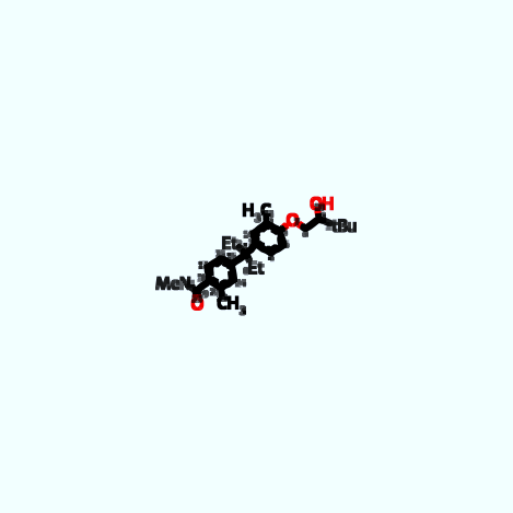 CCC(CC)(c1ccc(OCC(O)C(C)(C)C)c(C)c1)c1ccc(C(=O)NC)c(C)c1